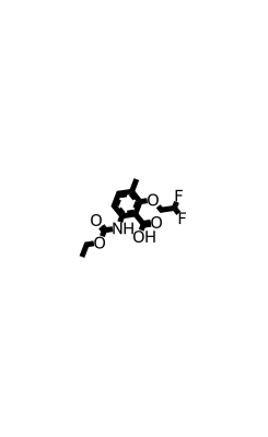 CCOC(=O)Nc1ccc(C)c(OCC(F)F)c1C(=O)O